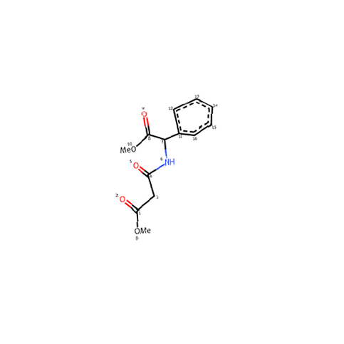 COC(=O)CC(=O)NC(C(=O)OC)c1ccccc1